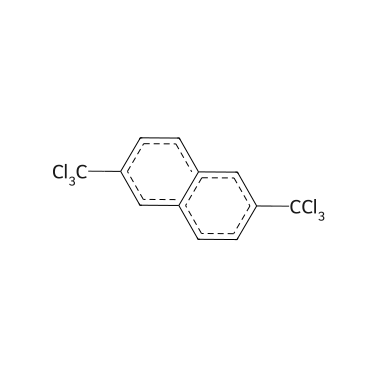 ClC(Cl)(Cl)c1ccc2cc(C(Cl)(Cl)Cl)ccc2c1